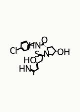 CC(=N)/C=C(\O)CC(=S)N1C[C@H](O)C[C@H]1C(=O)NCc1ccc(Cl)cc1